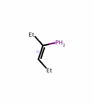 CC/C=C(\P)CC